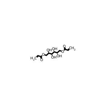 C=CC(=O)OC[C@@H](O)[C@H](O)[C@H](O)[C@@H](O)COC(=O)C=C